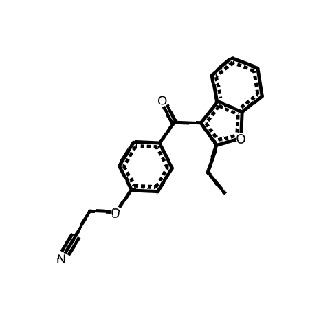 CCc1oc2ccccc2c1C(=O)c1ccc(OCC#N)cc1